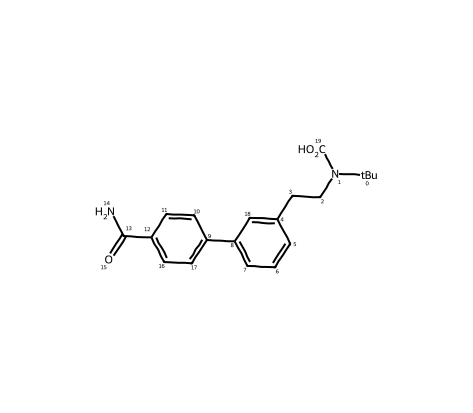 CC(C)(C)N(CCc1cccc(-c2ccc(C(N)=O)cc2)c1)C(=O)O